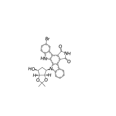 CC1(C)O[C@@H]2[C@H](O1)[C@@H](O)C[C@H]2n1c2ccccc2c2c3c(c4c5cc(Br)ccc5[nH]c4c21)C(=O)NC3=O